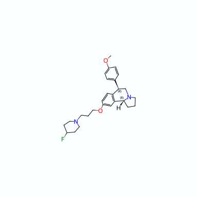 COc1ccc([C@H]2CN3CCC[C@@H]3c3cc(OCCCN4CCC(F)CC4)ccc32)cc1